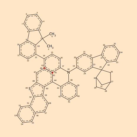 CC1(C)c2ccccc2-c2cccc(-c3ccc(N(c4ccc5c(c4)C4(CC6CCC4C6)c4ccccc4-5)c4ccccc4-c4cccc5sc6c7ccccc7ccc6c45)cc3)c21